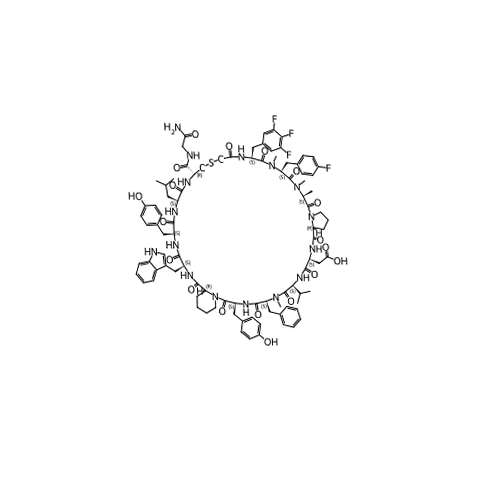 CC(C)C[C@@H]1NC(=O)[C@H](Cc2ccc(O)cc2)NC(=O)[C@H](Cc2c[nH]c3ccccc23)NC(=O)[C@H]2CCCCN2C(=O)[C@H](Cc2ccc(O)cc2)NC(=O)[C@H](Cc2ccccc2)N(C)C(=O)[C@H](C(C)C)NC(=O)[C@H](CC(=O)O)NC(=O)[C@H]2CCCN2C(=O)[C@H](C)N(C)C(=O)[C@H](Cc2ccc(F)cc2)N(C)C(=O)[C@H](Cc2cc(F)c(F)c(F)c2)NC(=O)CSC[C@@H](C(=O)NCC(N)=O)NC1=O